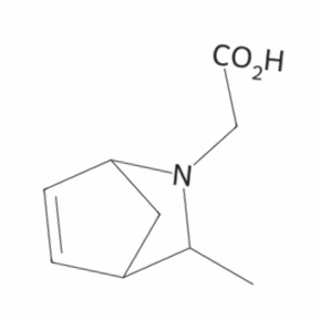 CC1C2C=CC(C2)N1CC(=O)O